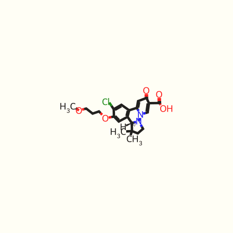 COCCCOc1cc2c(cc1Cl)-c1cc(=O)c(C(=O)O)cn1N1CCC(C)(C)[C@H]21